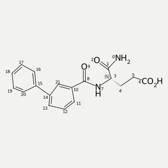 NC(=O)[C@H](CCC(=O)O)NC(=O)c1cccc(-c2ccccc2)c1